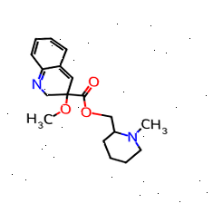 COC1(C(=O)OCC2CCCCN2C)C=c2ccccc2=NC1